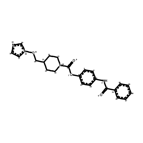 O=C(Nc1ccc(OC(=O)N2CCC(COn3ccnc3)CC2)cc1)c1ccccc1